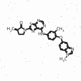 C=C1CCN(c2nc3c(Nc4ccc(Oc5ccc6c(c5)ncn6C)c(C)c4)ncnc3s2)C1=O